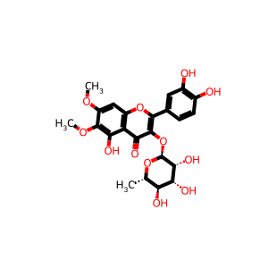 COc1cc2oc(-c3ccc(O)c(O)c3)c(O[C@@H]3O[C@@H](C)[C@H](O)[C@@H](O)[C@H]3O)c(=O)c2c(O)c1OC